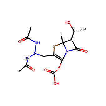 CC(=O)NN(CC1=C(OC(=O)O)N2C(=O)[C@H]([C@@H](C)O)[C@H]2S1)NC(C)=O